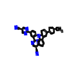 Cc1ccc(-c2ccc3c(c2)c2ccccc2n3-c2ccc(-c3ncc(C#N)cn3)cc2-c2ncc(C#N)cn2)cc1